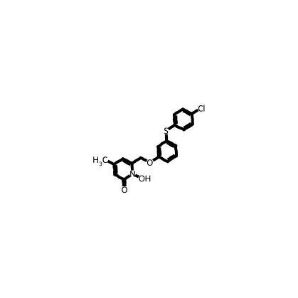 Cc1cc(COc2cccc(Sc3ccc(Cl)cc3)c2)n(O)c(=O)c1